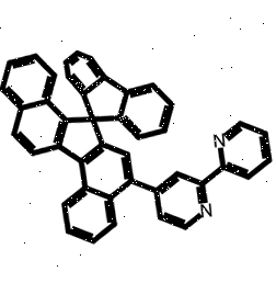 c1ccc(-c2cc(-c3cc4c(c5ccccc35)-c3ccc5ccccc5c3C43c4ccccc4-c4ccccc43)ccn2)nc1